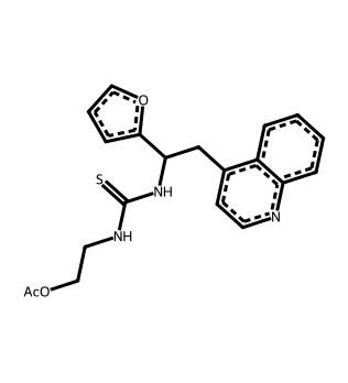 CC(=O)OCCNC(=S)NC(Cc1ccnc2ccccc12)c1ccco1